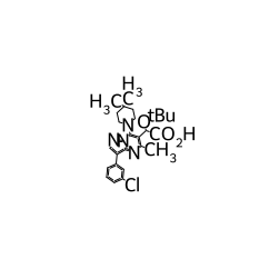 Cc1nc2c(-c3cccc(Cl)c3)cnn2c(N2CCC(C)(C)CC2)c1C(OC(C)(C)C)C(=O)O